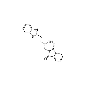 O=C1c2ccccc2C(=O)N1CC(O)CSc1nc2ccccc2s1